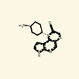 N[C@H]1CC[C@H](n2c(=O)cnc3cnc4[nH]ccc4c32)CC1